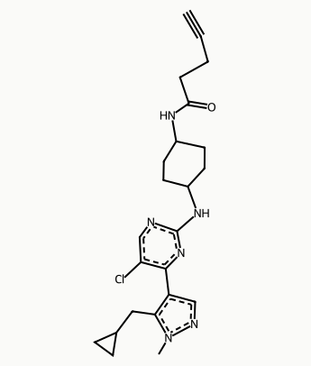 C#CCCC(=O)NC1CCC(Nc2ncc(Cl)c(-c3cnn(C)c3CC3CC3)n2)CC1